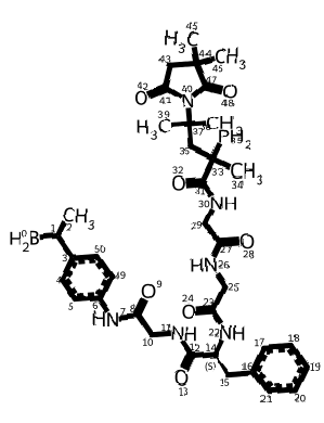 BC(C)c1ccc(NC(=O)CNC(=O)[C@H](Cc2ccccc2)NC(=O)CNC(=O)CNC(=O)C(C)(P)CC(C)(C)N2C(=O)CC(C)(C)C2=O)cc1